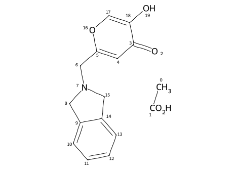 CC(=O)O.O=c1cc(CN2Cc3ccccc3C2)occ1O